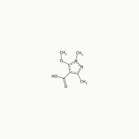 COc1c(C(=O)O)c(C)nn1C